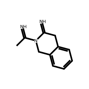 CC(=N)N1Cc2ccccc2CC1=N